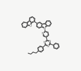 CCCCc1ccc(-c2nc(-c3ccccc3)nc(-c3ccc(-n4c5ccccc5c5cc(-c6cccc7c6oc6ccccc67)ccc54)nc3)n2)cc1